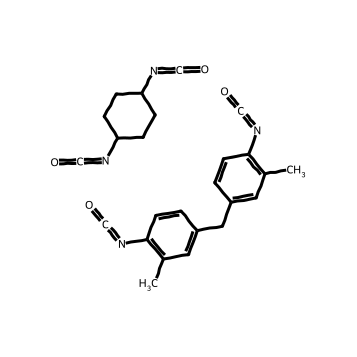 Cc1cc(Cc2ccc(N=C=O)c(C)c2)ccc1N=C=O.O=C=NC1CCC(N=C=O)CC1